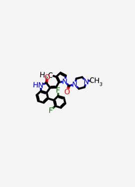 Cc1ccn(C(=O)N2CCN(C)CC2)c1/C=C1\C(=O)Nc2cccc(-c3c(F)cccc3F)c21